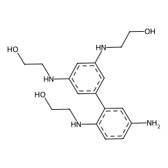 Nc1ccc(NCCO)c(-c2cc(NCCO)cc(NCCO)c2)c1